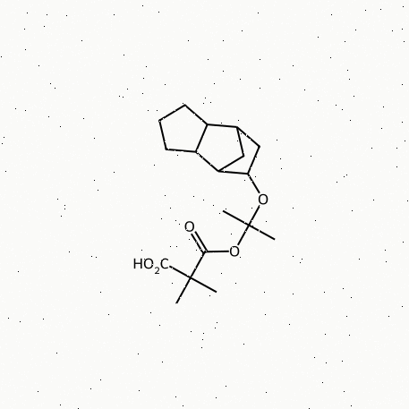 CC(C)(OC(=O)C(C)(C)C(=O)O)OC1CC2CC1C1CCCC21